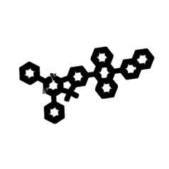 CC1(C)c2cc(-c3c4ccccc4c(-c4ccc5ccccc5c4)c4ccccc34)ccc2-c2nc(-c3ccccc3)nc(-c3ccccc3)c21